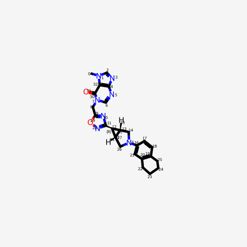 Cn1cnc2ncn(Cc3nc([C@H]4[C@@H]5CN(c6ccc7c(c6)CCCC7)C[C@@H]54)no3)c(=O)c21